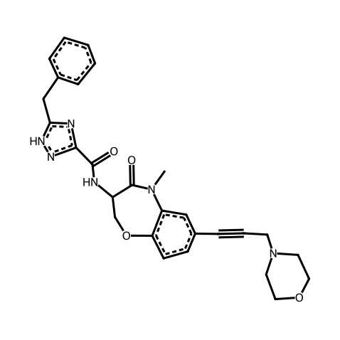 CN1C(=O)C(NC(=O)c2n[nH]c(Cc3ccccc3)n2)COc2ccc(C#CCN3CCOCC3)cc21